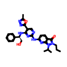 CCCn1c(=O)c2ccc(Nc3ncc(-c4nnc(C)o4)c(N[C@H](CO)c4ccccc4)n3)nc2n1C(C)C